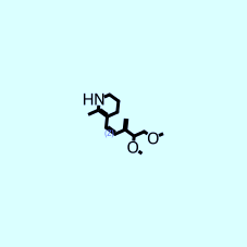 C=C(/C=C\C1=C(C)NCCC1)C(COC)OC